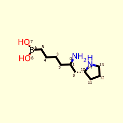 NC(CCCCB(O)O)C[C@H]1CCCN1